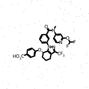 CN(C(=O)c1cccc(-n2nc(C(F)(F)F)c3c2[C@@H](Oc2ccc(C(=O)O)cc2)CCC3)c1)c1ccnc(OC(F)F)c1